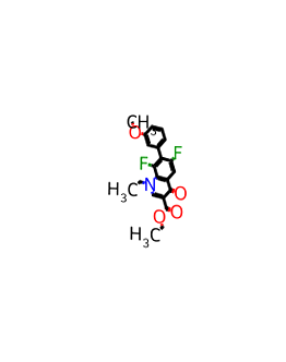 CCOC(=O)c1cn(CC)c2c(F)c(-c3cccc(OC)c3)c(F)cc2c1=O